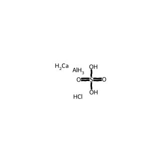 Cl.O=S(=O)(O)O.[AlH3].[CaH2]